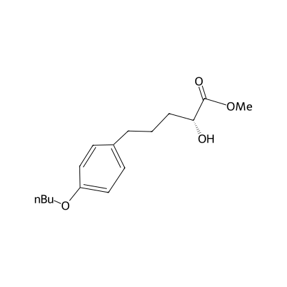 CCCCOc1ccc(CCC[C@@H](O)C(=O)OC)cc1